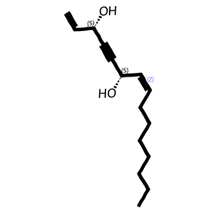 C=C[C@H](O)C#C[C@@H](O)/C=C\CCCCCCC